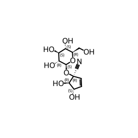 N#C[C@]1(O[C@@H]2O[C@H](CO)[C@@H](O)[C@H](O)[C@H]2O)C=C[C@H](O)[C@H]1O